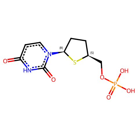 O=c1ccn([C@H]2CC[C@@H](COP(=O)(O)O)S2)c(=O)[nH]1